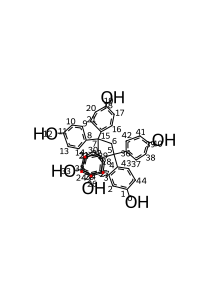 Oc1ccc(C(CC(c2ccc(O)cc2)(c2ccc(O)cc2)c2ccc(O)cc2)(c2ccc(O)cc2)c2ccc(O)cc2)cc1